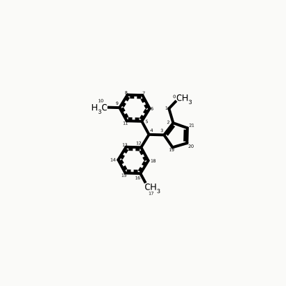 CCC1=C(C(c2cccc(C)c2)c2cccc(C)c2)CC=C1